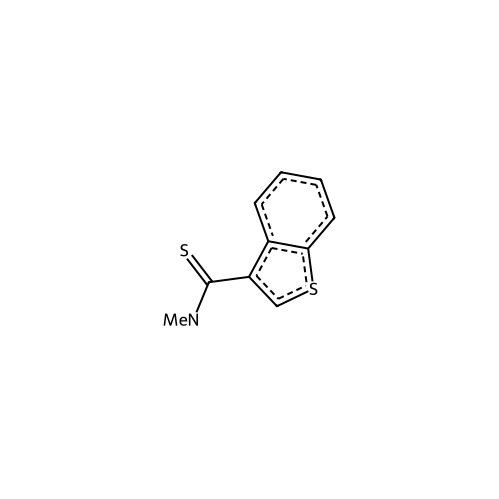 CNC(=S)c1csc2ccccc12